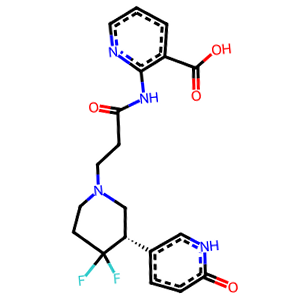 O=C(CCN1CCC(F)(F)[C@@H](c2ccc(=O)[nH]c2)C1)Nc1ncccc1C(=O)O